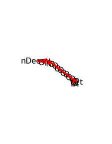 CCCCCCCCCCCCOc1ccc(Cn2cc(COCCOCCOCCOCCOCCOCCOCCOCCP(=O)(OCC)OCC)nn2)cc1